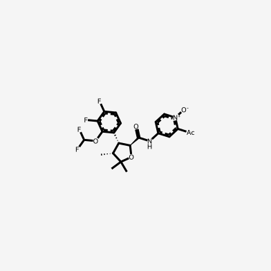 CC(=O)c1cc(NC(=O)[C@H]2OC(C)(C)[C@H](C)[C@@H]2c2ccc(F)c(F)c2OC(F)F)cc[n+]1[O-]